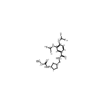 CC(C)(C)OC(=O)N[C@@H]1CC[C@H](CNC(=O)c2ccc(OC(F)F)c(OC(F)F)c2)C1